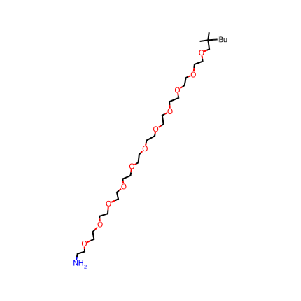 CCC(C)C(C)(C)COCCOCCOCCOCCOCCOCCOCCOCCOCCOCCOCCN